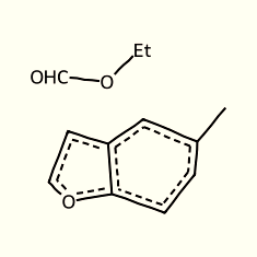 CCOC=O.Cc1ccc2occc2c1